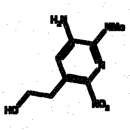 CNc1nc([N+](=O)[O-])c(CCO)cc1N